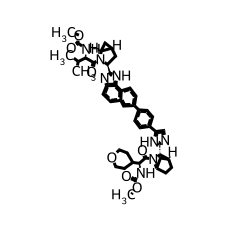 COC(=O)N[C@H](C(=O)N1[C@@H]2C[C@@H]2C[C@H]1c1nc2ccc3cc(-c4ccc(-c5cnc([C@@H]6[C@H]7CCC(C7)N6C(=O)[C@@H](NC(=O)OC)C6CCOCC6)[nH]5)cc4)ccc3c2[nH]1)C(C)C